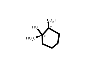 O=C(O)[C@H]1CCCC[C@@]1(O)C(=O)O